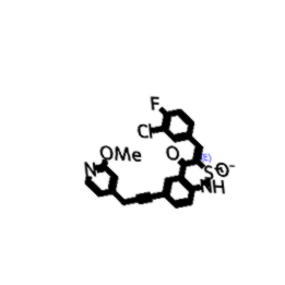 COc1cc(CC#Cc2ccc3c(c2)C(=O)/C(=C\c2ccc(F)c(Cl)c2)[S+]([O-])N3)ccn1